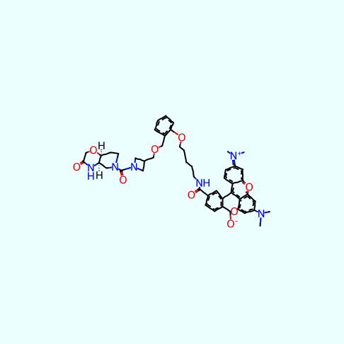 CN(C)c1ccc2c(-c3cc(C(=O)NCCCCCOc4ccccc4COCC4CN(C(=O)N5CC[C@@H]6OCC(=O)N[C@@H]6C5)C4)ccc3C(=O)[O-])c3ccc(=[N+](C)C)cc-3oc2c1